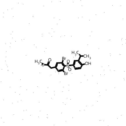 COC(=O)Cc1cc(Br)c(S(=O)(=O)c2ccc(O)c(C(C)C)c2)c(Br)c1